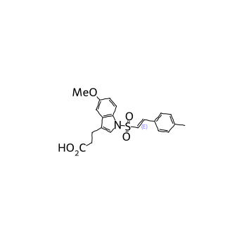 COc1ccc2c(c1)c(CCC(=O)O)cn2S(=O)(=O)/C=C/c1ccc(C)cc1